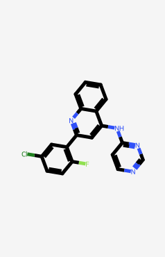 Fc1ccc(Cl)cc1-c1cc(Nc2ccncn2)c2ccccc2n1